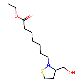 CCOC(=O)CCCCCCN1SCCC1CO